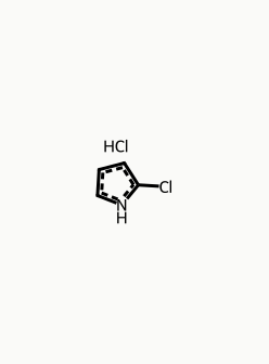 Cl.Clc1ccc[nH]1